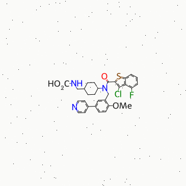 COc1ccc(-c2ccncc2)cc1CN(C(=O)c1sc2cccc(F)c2c1Cl)C1CCC(CNC(=O)O)CC1